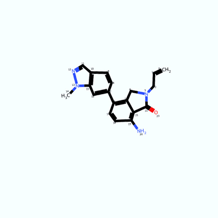 C=CCN1Cc2c(-c3ccc4cnn(C)c4c3)ccc(N)c2C1=O